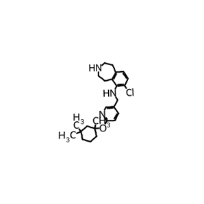 CC1(C)CCCC(C)(Oc2ccc(CNc3c(Cl)ccc4c3CCNCC4)cn2)C1